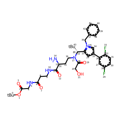 CC(C)(C)OC(=O)CNC(=O)CCNC(=O)[C@@H](N)CCN(C(=O)CO)[C@@H](c1cc(-c2cc(F)ccc2F)cn1Cc1ccccc1)C(C)(C)C